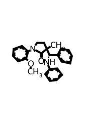 COc1ccccc1N1CCC(C)([C@@H](Nc2ccccc2)c2ccccc2)C1=O